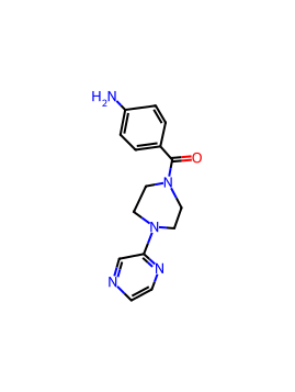 Nc1ccc(C(=O)N2CCN(c3cnccn3)CC2)cc1